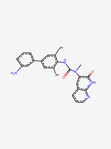 CC(C)c1cc(-c2cccc(N)c2)cc(C(C)C)c1NC(=O)N(C)c1cc2cccnc2[nH]c1=O